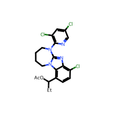 CCC(OC(C)=O)c1ccc(Cl)c2nc3n(c12)CCCCN3c1ncc(Cl)cc1Cl